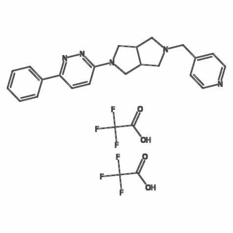 O=C(O)C(F)(F)F.O=C(O)C(F)(F)F.c1ccc(-c2ccc(N3CC4CN(Cc5ccncc5)CC4C3)nn2)cc1